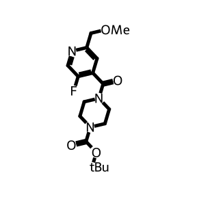 COCc1cc(C(=O)N2CCN(C(=O)OC(C)(C)C)CC2)c(F)cn1